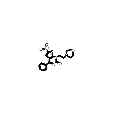 O=c1nc(-c2ccccc2)c2cc([N+](=O)[O-])sc2n1CCN1CCOCC1